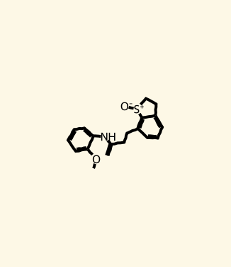 C=C(CCc1cccc2c1[S+]([O-])CC2)Nc1ccccc1OC